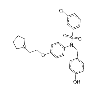 O=S(=O)(c1cccc(Cl)c1)N(Cc1ccc(O)cc1)c1ccc(OCCN2CCCC2)cc1